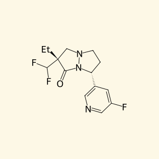 CC[C@@]1(C(F)F)CN2CC[C@H](c3cncc(F)c3)N2C1=O